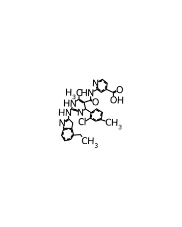 CCc1cccc2c1CC(NC1=NC(c3ccc(C)cc3Cl)C(C(=O)Nc3cc(C(=O)O)ccn3)=C(C)N1)=N2